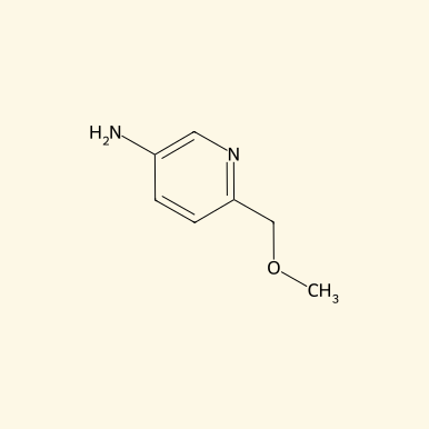 COCc1ccc(N)cn1